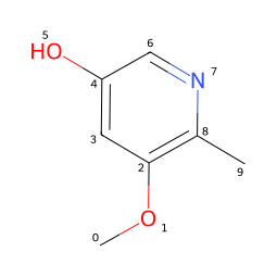 COc1cc(O)cnc1C